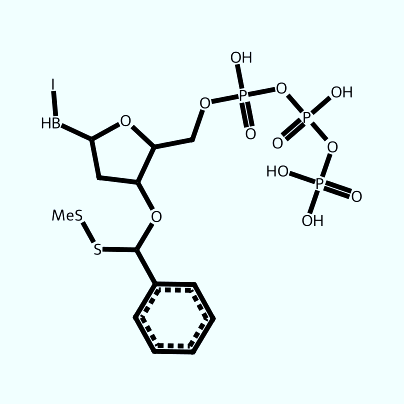 CSSC(OC1CC(BI)OC1COP(=O)(O)OP(=O)(O)OP(=O)(O)O)c1ccccc1